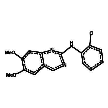 COc1cc2cnc(Nc3ccccc3Cl)nc2cc1OC